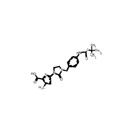 Cc1cc(N2CCN(Cc3ccc(NC(=O)OC(C)(C)C)cc3)C2=O)sc1C(=O)O